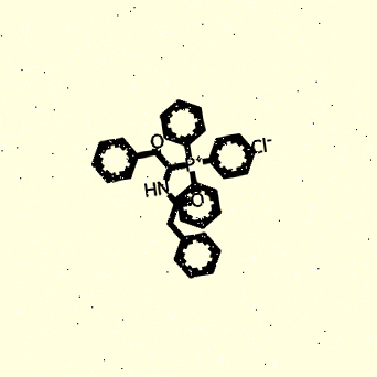 O=C(Cc1ccccc1)NC(C(=O)c1ccccc1)[P+](c1ccccc1)(c1ccccc1)c1ccccc1.[Cl-]